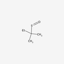 C[CH]C(C)(C)[S+]=O